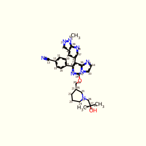 Cn1ncc2cc(-c3c(-c4ccc(C#N)cc4)nc(OC[C@@H]4CCCN(CC(C)(C)O)C4)n4ccnc34)cnc21